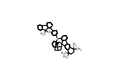 CC1(C)CCC(C)(C)c2cc3c(cc21)-c1cccc(N(c2ccccc2)c2ccc(-c4cccc5c4C(C)(C)c4ccccc4-5)cc2)c1C31C2CC3CC4CC1C34C2